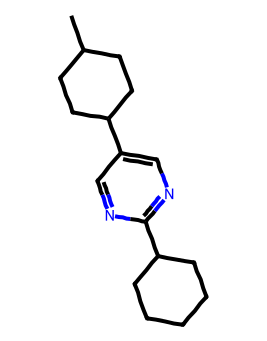 CC1CCC(c2cnc(C3CCCCC3)nc2)CC1